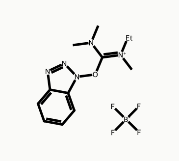 CC[N+](C)=C(On1nnc2ccccc21)N(C)C.F[B-](F)(F)F